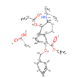 CC(=O)O.COC(=O)c1c(OCc2ccccc2)ccc2c1CCC(NC(C)C)C2OC(C)=O